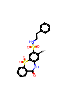 CC(C)c1cc2c(cc1S(=O)(=O)NCCc1ccccc1)S(=O)(=O)c1ccccc1C(=O)N2